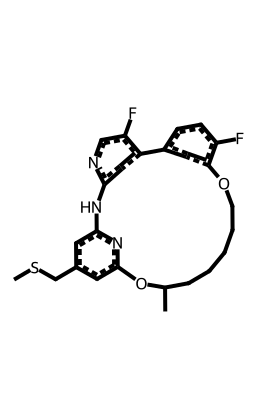 CSCc1cc2nc(c1)OC(C)CCCCCOc1cc(ccc1F)-c1cc(ncc1F)N2